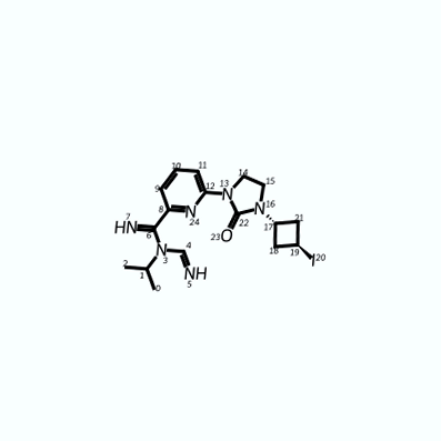 CC(C)N(C=N)C(=N)c1cccc(N2CCN([C@H]3C[C@H](I)C3)C2=O)n1